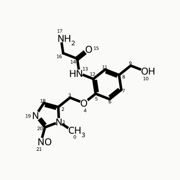 Cn1c(COc2ccc(CO)cc2NC(=O)CN)cnc1N=O